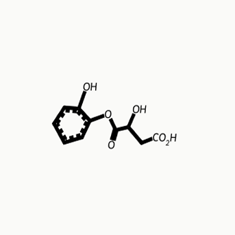 O=C(O)CC(O)C(=O)Oc1ccccc1O